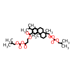 CC(C)COC(=O)OOCC1(C)CCCC2(C)c3cc(C(=O)OCCC(=O)OC(=O)OCC(C)C)c(C(C)C)cc3CCC12